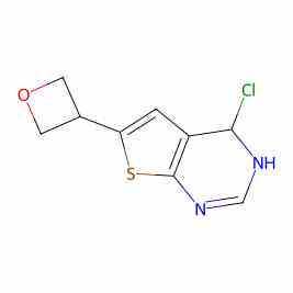 ClC1NC=Nc2sc(C3COC3)cc21